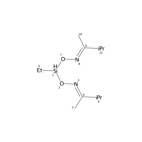 CC[SiH](ON=C(C)C(C)C)ON=C(C)C(C)C